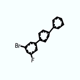 Fc1cc(Br)cc(-c2ccc(-c3ccccc3)cc2)c1